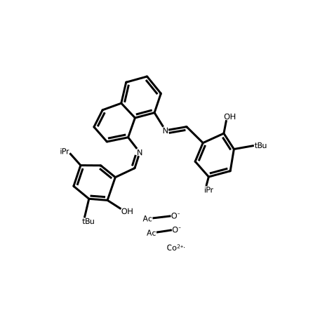 CC(=O)[O-].CC(=O)[O-].CC(C)c1cc(C=Nc2cccc3cccc(N=Cc4cc(C(C)C)cc(C(C)(C)C)c4O)c23)c(O)c(C(C)(C)C)c1.[Co+2]